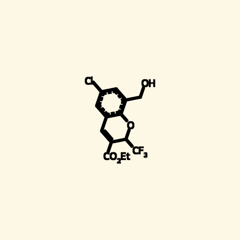 CCOC(=O)C1=Cc2cc(Cl)cc(CO)c2OC1C(F)(F)F